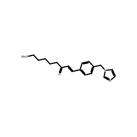 COCCCCCC(=O)/C=C/c1ccc(Cn2ccnc2)cc1